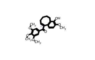 COc1ccc2c(c1O)CCCC/C=C\2C(=O)c1cc(OC)c(OC)c(OC)c1